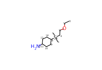 CCOCC[Si](C)(C)C1CCC(N)CC1